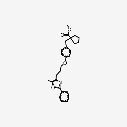 COC(=O)C1(Cc2ccc(OCCCc3nc(-c4ccccc4)oc3C)cc2)CCCC1